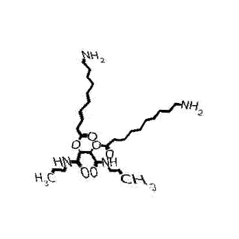 CCCNC(=O)[C@H](OC(=O)CCCCCCCCCN)[C@@H](OC(=O)CCCCCCCCCN)C(=O)NCCC